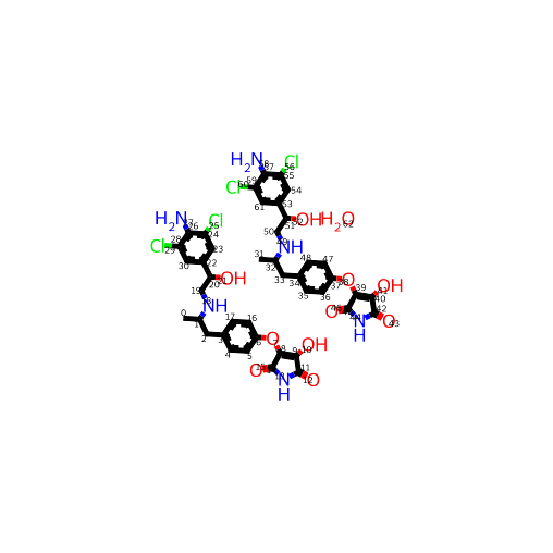 CC(Cc1ccc(OC2=C(O)C(=O)NC2=O)cc1)NCC(O)c1cc(Cl)c(N)c(Cl)c1.CC(Cc1ccc(OC2=C(O)C(=O)NC2=O)cc1)NCC(O)c1cc(Cl)c(N)c(Cl)c1.O